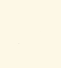 COc1ccccc1O[C@@H](C)CN